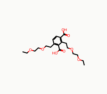 CCOCCOCCc1ccc(C(=O)O)c(CCOCCOCC)c1C(=O)O